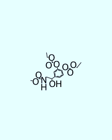 CCOC(=O)Oc1ccc(C(O)CNC(=O)OC)cc1OC(=O)OCC